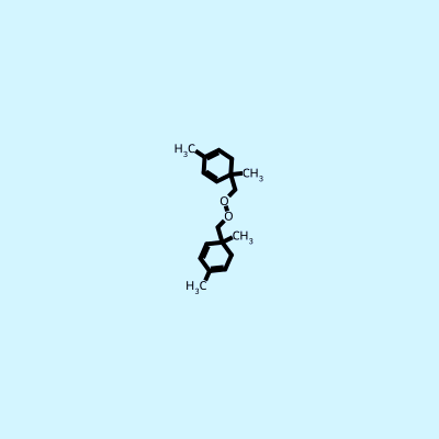 CC1=CCC(C)(COOCC2(C)C=CC(C)=CC2)C=C1